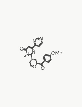 COc1ccc(C(=O)C2CN(c3nc(-c4ccncn4)cc(=O)n3C)CCO2)cc1